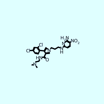 CN(C)CCNC(=O)c1cn(CCCNc2ccc([N+](=O)[O-])c(N)n2)cc1-c1ccc(Cl)cc1Cl